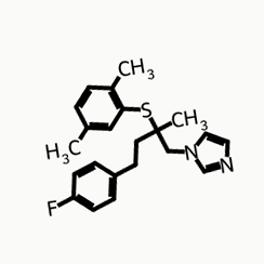 Cc1ccc(C)c(SC(C)(CCc2ccc(F)cc2)Cn2ccnc2)c1